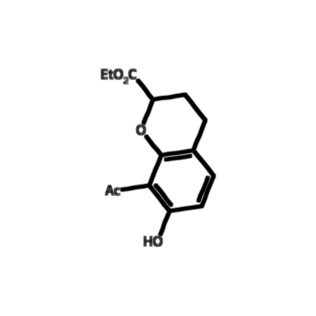 CCOC(=O)C1CCc2ccc(O)c(C(C)=O)c2O1